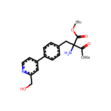 COC(=O)C(N)(Cc1ccc(-c2ccnc(CO)c2)cc1)C(=O)OC(C)(C)C